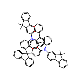 CC1(C)c2ccccc2-c2ccc(N(c3ccc4c(c3)-c3c(N(c5ccc6c(c5)C(C)(C)c5ccccc5-6)c5ccccc5-c5ccccc5)cccc3C43c4ccccc4-c4ccccc43)c3ccccc3-c3ccccc3)cc21